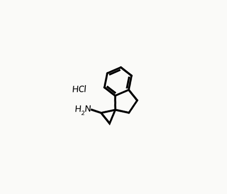 Cl.NC1CC12CCc1ccccc12